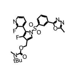 Cc1nnc(-c2cccc(S(=O)(=O)n3cc(COC(=O)N(C)C(C)(C)C)c(F)c3-c3cccnc3F)c2)o1